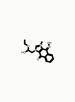 CCOC(O)Cn1c[n+](C)c2c1C(=O)c1ccccc1/C2=N/O